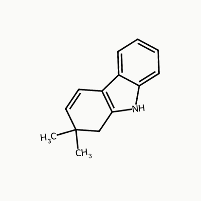 CC1(C)C=Cc2c([nH]c3ccccc23)C1